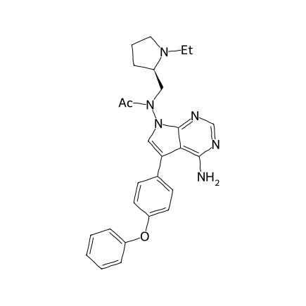 CCN1CCC[C@@H]1CN(C(C)=O)n1cc(-c2ccc(Oc3ccccc3)cc2)c2c(N)ncnc21